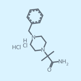 CC(C)(C(N)=O)N1CCN(Cc2ccccc2)CC1.Cl.Cl